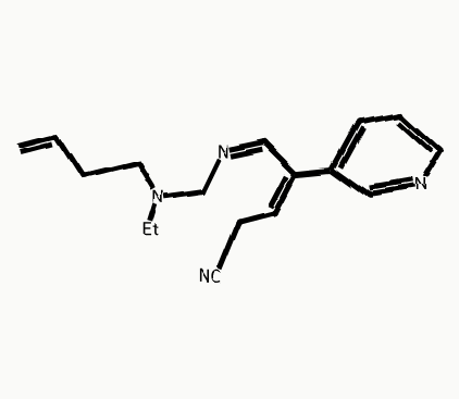 C=CCCN(CC)C/N=C\C(=C/CC#N)c1cccnc1